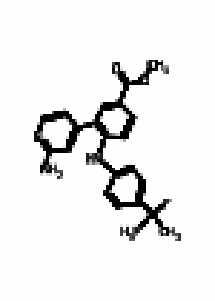 COC(=O)c1ccc(Nc2ccc(C(C)(F)P)cc2)c(-c2ccnc(N)c2)c1